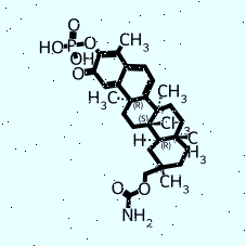 CC1=C(OP(=O)(O)O)C(=O)C=C2C1=CC=C1[C@@]2(C)CC[C@@]2(C)[C@@H]3C[C@](C)(COC(N)=O)CC[C@@]3(C)CC[C@]12C